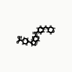 O=C(O)N1CC=C(c2csc3cnc(Nc4ccc(CN5CCOCC5)cc4)nc23)CC1